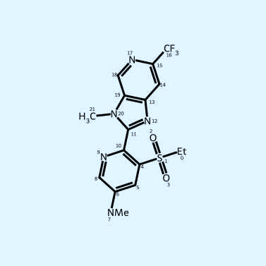 CCS(=O)(=O)c1cc(NC)cnc1-c1nc2cc(C(F)(F)F)ncc2n1C